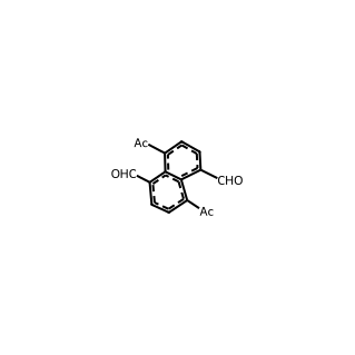 CC(=O)c1ccc(C=O)c2c(C(C)=O)ccc(C=O)c12